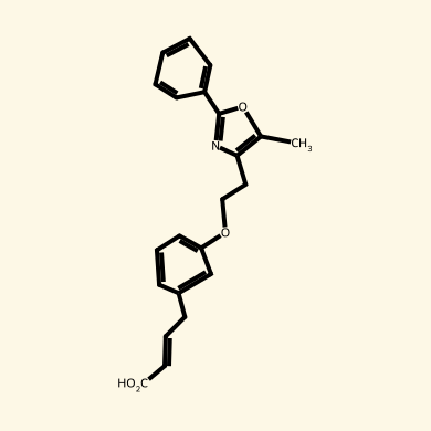 Cc1oc(-c2ccccc2)nc1CCOc1cccc(C/C=C/C(=O)O)c1